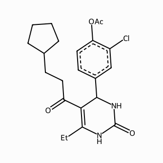 CCC1=C(C(=O)CCC2CCCC2)C(c2ccc(OC(C)=O)c(Cl)c2)NC(=O)N1